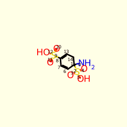 NC1(S(=O)(=O)O)C=CC(S(=O)(=O)O)=CC1